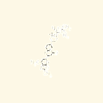 Cc1nc2c(C)cc(-c3cc(=O)n4cc(C5CCN(C(=O)OC(C)(C)C)C6(CC6)C5)ccc4n3)nc2o1